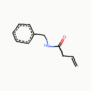 [CH]=CCC(=O)NCc1ccccc1